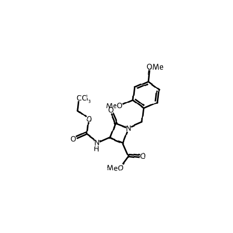 COC(=O)C1C(NC(=O)OCC(Cl)(Cl)Cl)C(=O)N1Cc1ccc(OC)cc1OC